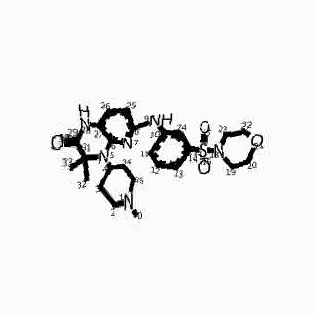 CN1CCC(N2c3nc(Nc4cccc(S(=O)(=O)N5CCOCC5)c4)ccc3NC(=O)C2(C)C)CC1